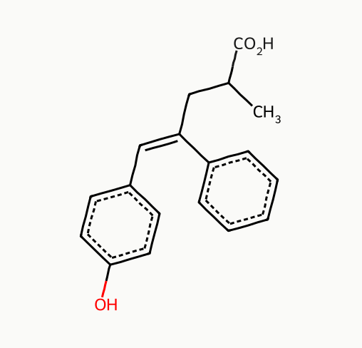 CC(CC(=Cc1ccc(O)cc1)c1ccccc1)C(=O)O